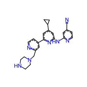 N#Cc1ccnc(Nc2cc(C3CC3)cc(-c3ccnc(CN4CCNCC4)c3)n2)c1